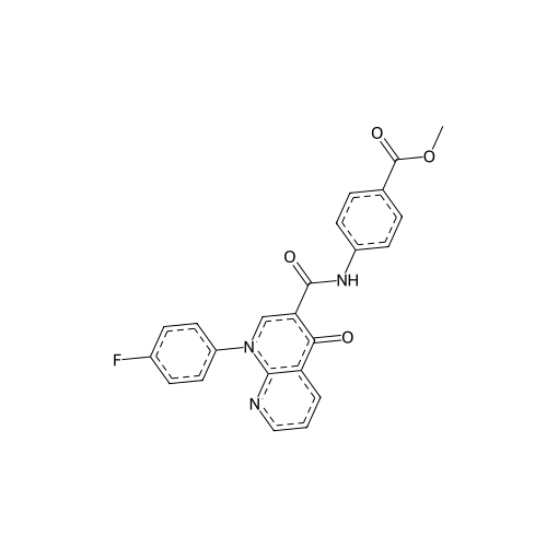 COC(=O)c1ccc(NC(=O)c2cn(-c3ccc(F)cc3)c3ncccc3c2=O)cc1